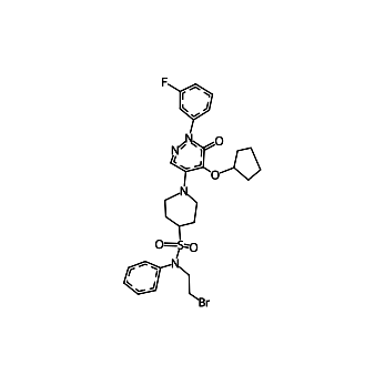 O=c1c(OC2CCCC2)c(N2CCC(S(=O)(=O)N(CCBr)c3ccccc3)CC2)cnn1-c1cccc(F)c1